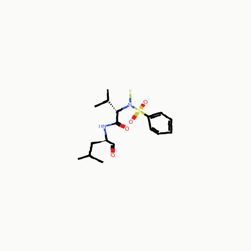 CC(C)C[C@H](C=O)NC(=O)[C@H](C(C)C)N(F)S(=O)(=O)c1ccccc1